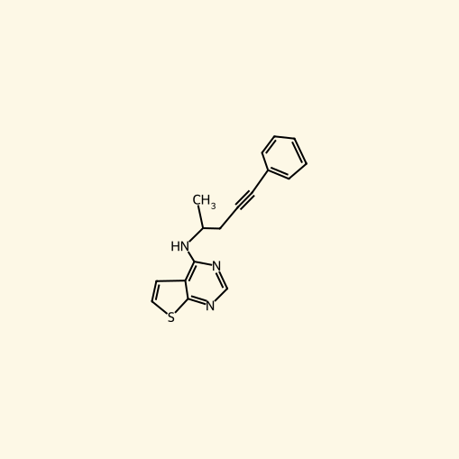 CC(CC#Cc1ccccc1)Nc1ncnc2sccc12